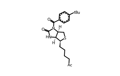 CC(=O)CCCC[C@@H]1SC[C@H]2[C@@H]1NC(=O)N2C(=O)c1ccc(C(C)(C)C)cc1